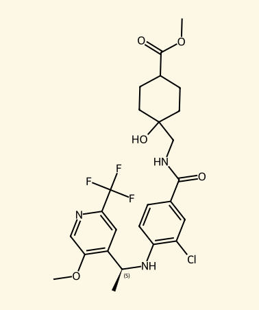 COC(=O)C1CCC(O)(CNC(=O)c2ccc(N[C@@H](C)c3cc(C(F)(F)F)ncc3OC)c(Cl)c2)CC1